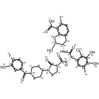 O=C(O)c1c(F)ccc2c1OB(O)[C@@H](NC(=O)[C@@H](NC(=O)N1CCN(C3CCN(C(=O)c4ccc(F)c(O)c4)CC3)C1=O)c1cc(F)c(O)c(O)c1Cl)C2